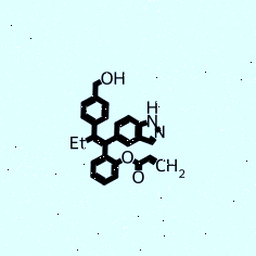 C=CC(=O)Oc1ccccc1/C(=C(\CC)c1ccc(CO)cc1)c1ccc2[nH]ncc2c1